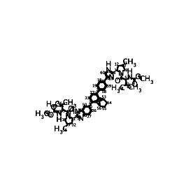 COC(=O)N[C@H](C(=O)N1C[C@H](C)C[C@H]1c1nc(-c2ccc(-c3ccc(-c4ccc5nc([C@@H]6C[C@@H](C)CN6C(=O)[C@@H](NC(=O)OC)C(C)C)[nH]c5c4)c4c3C3CCC4C3)cc2)c[nH]1)C(C)C